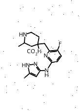 Cc1cc(Nc2ccc(F)c(CC3(C(=O)O)CCNC(C)C3)n2)n[nH]1